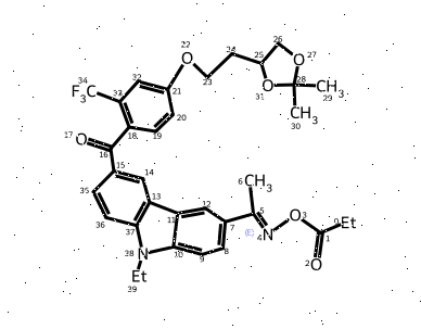 CCC(=O)O/N=C(\C)c1ccc2c(c1)c1cc(C(=O)c3ccc(OCCC4COC(C)(C)O4)cc3C(F)(F)F)ccc1n2CC